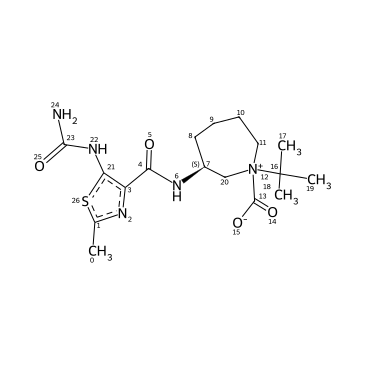 Cc1nc(C(=O)N[C@H]2CCCC[N+](C(=O)[O-])(C(C)(C)C)C2)c(NC(N)=O)s1